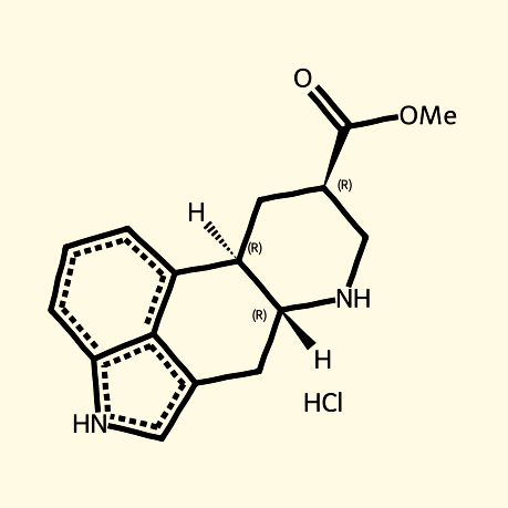 COC(=O)[C@H]1CN[C@@H]2Cc3c[nH]c4cccc(c34)[C@H]2C1.Cl